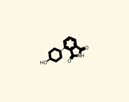 O=C1NC(=O)c2c1cccc2[C@H]1CC[C@H](O)CC1